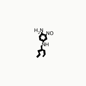 C=C/C=C(\C=C/C)CNc1ccc(N)c(N=O)c1